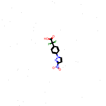 O=C(O)C(F)(F)c1ccc(-n2ccc([N+](=O)[O-])n2)cc1